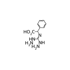 NNC(=NC(C(=O)O)c1ccccc1)NN